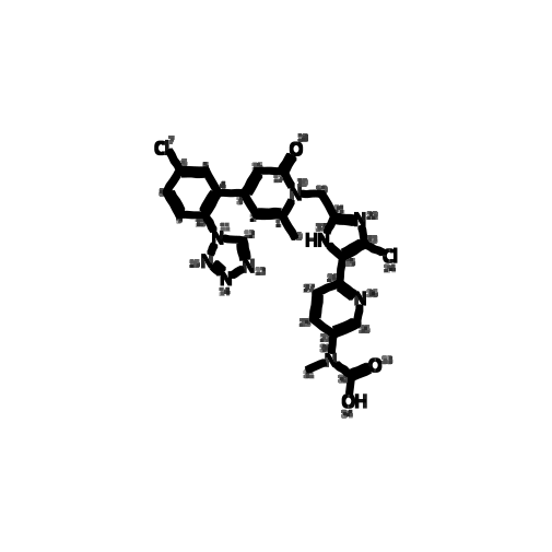 Cc1cc(-c2cc(Cl)ccc2-n2cnnn2)cc(=O)n1Cc1nc(Cl)c(-c2ccc(N(C)C(=O)O)cn2)[nH]1